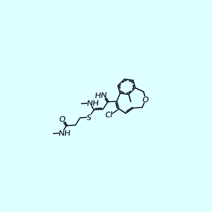 CNC(=O)CCS/C(=C/C(=N)/C1=C(Cl)/C=C/COCc2cccc1c2C)NC